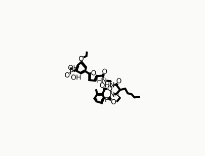 CCCCCC(C(=O)NCNC(=O)c1ccc(-c2cc(OCC)cc(P(=O)(O)O)c2)o1)[C@@H](CC)N(C=O)OC(=O)c1c(C)cccc1F